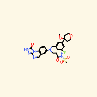 COC1(c2cc(F)cc(CN(CCC(=O)NS(C)(=O)=O)c3ccc4c(cnc5n[nH]c(=O)n54)c3)c2)CCOCC1